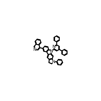 c1ccc(-c2cc(-c3ccccc3)nc(-n3c4ccc(-c5cncc6ccccc56)cc4c4cc5c(cc43)N(c3ccccc3)CC5)c2)cc1